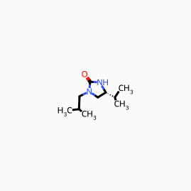 CC(C)CN1C[C@@H](C(C)C)NC1=O